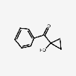 O=C(c1ccccc1)C1(O)CC1